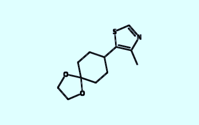 Cc1ncsc1C1CCC2(CC1)OCCO2